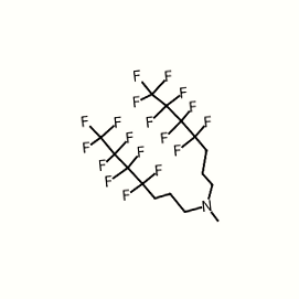 CN(CCCC(F)(F)C(F)(F)C(F)(F)C(F)(F)F)CCCC(F)(F)C(F)(F)C(F)(F)C(F)(F)F